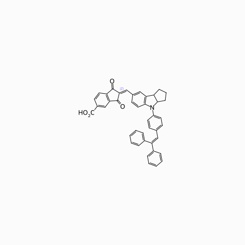 O=C(O)c1ccc2c(c1)C(=O)/C(=C\c1ccc3c(c1)C1CCCC1N3c1ccc(C=C(c3ccccc3)c3ccccc3)cc1)C2=O